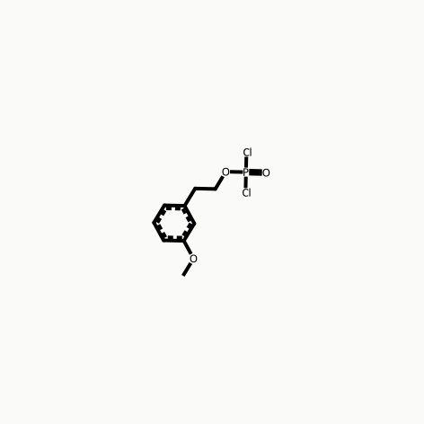 COc1cccc(CCOP(=O)(Cl)Cl)c1